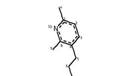 Cc1ccc(CCI)c(C)n1